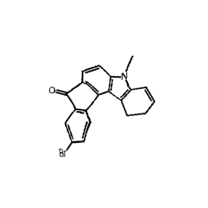 Cn1c2c(c3c4c(ccc31)C(=O)c1cc(Br)ccc1-4)CCC=C2